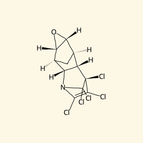 ClC1=C(Cl)[C@@]2(Cl)[C@H]3[C@H]4C[C@H]([C@@H]5O[C@H]45)[C@H]3N1C2(Cl)Cl